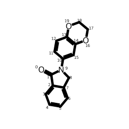 O=C1c2ccccc2CN1c1ccc2c(c1)OCCO2